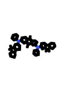 Cc1c2ccc(N(c3ccccc3)c3ccc4c(c3)C(C)(C)C3=C4CCC=C3)cc2c(C)c2cc(N(c3ccccc3)c3ccc4c(c3)C(C)(C)C3=C4C=CCC3)ccc12